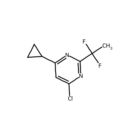 CC(F)(F)c1nc(Cl)cc(C2CC2)n1